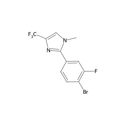 Cn1cc(C(F)(F)F)nc1-c1ccc(Br)c(F)c1